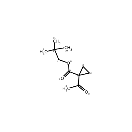 CC(=O)C1(C(=O)OCC(C)(C)C)CC1